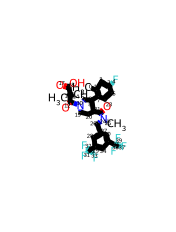 Cc1cc(F)ccc1C1CN(C(=O)C(C)(C)C(=O)O)CCC1C(=O)N(C)Cc1cc(C(F)(F)F)cc(C(F)(F)F)c1